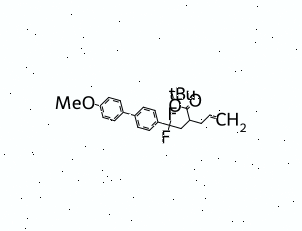 C=CCC(CC(F)(F)c1ccc(-c2ccc(OC)cc2)cc1)C(=O)OC(C)(C)C